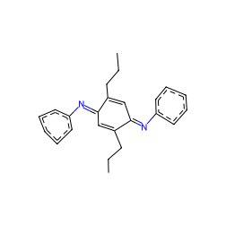 CCCC1=CC(=Nc2ccccc2)C(CCC)=CC1=Nc1ccccc1